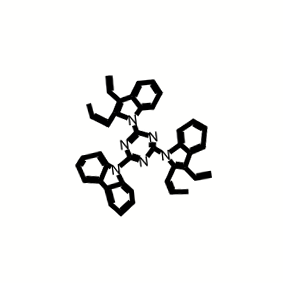 C=Cc1c(/C=C\C)n(-c2nc(-n3c(/C=C\C)c(C=C)c4ccccc43)nc(-n3c4ccccc4c4ccccc43)n2)c2ccccc12